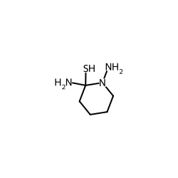 NN1CCCCC1(N)S